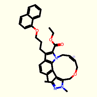 CCOC(=O)c1c(CCCOc2cccc3ccccc23)c2ccc(C)c3c2n1C/C=C\COCc1c-3c(C)nn1C